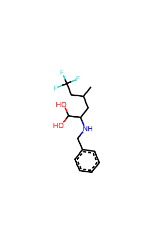 CC(CC(NCc1ccccc1)C(O)O)CC(F)(F)F